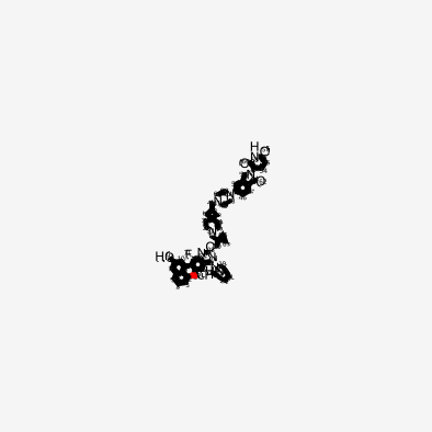 C#Cc1cccc2cc(O)cc(-c3c(CC)cc4c(N5CC6CCC(C5)N6)nc(OCC5(CN6CCC7(CC6)CC(CN6CCN(c8ccc9c(c8)CN([C@H]8CCC(=O)NC8=O)C9=O)CC6)C7)CC5)nc4c3F)c12